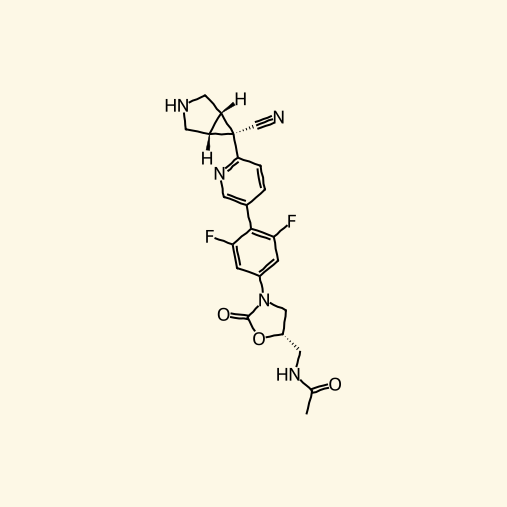 CC(=O)NC[C@H]1CN(c2cc(F)c(-c3ccc([C@@]4(C#N)[C@@H]5CNC[C@@H]54)nc3)c(F)c2)C(=O)O1